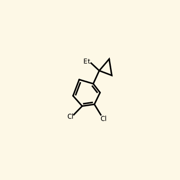 CCC1(c2ccc(Cl)c(Cl)c2)CC1